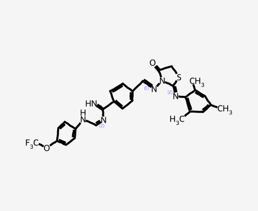 Cc1cc(C)c(/N=C2\SCC(=O)N2/N=C/c2ccc(C(=N)/N=C\Nc3ccc(OC(F)(F)F)cc3)cc2)c(C)c1